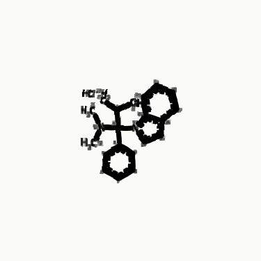 CC(O)C(c1ccccc1)(N(C)C)n1ccc2ccccc21.Cl